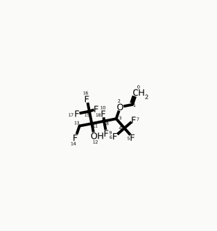 C=COC(C(F)(F)F)C(F)(F)C(O)(CF)C(F)(F)F